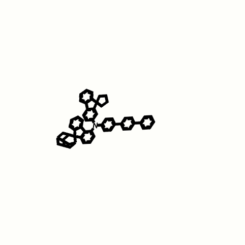 c1ccc(-c2ccc(-c3ccc(N(c4ccc5c(c4)C4(CCCC4)c4ccccc4-5)c4cccc5c4-c4ccccc4C54C5CC6CC(C5)CC4C6)cc3)cc2)cc1